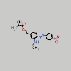 C=C(C)C(=O)OCCc1ccc(N=Nc2ccc([N+](=O)[O-])cc2)c(NCC)c1